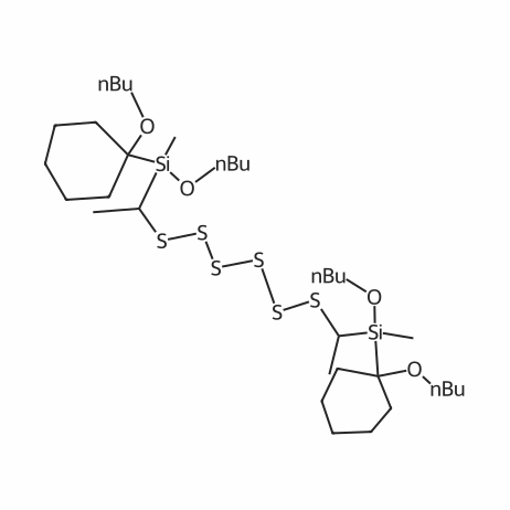 CCCCOC1([Si](C)(OCCCC)C(C)SSSSSSC(C)[Si](C)(OCCCC)C2(OCCCC)CCCCC2)CCCCC1